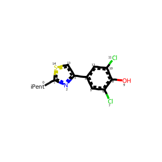 CCCC(C)c1nc(-c2cc(Cl)c(O)c(Cl)c2)cs1